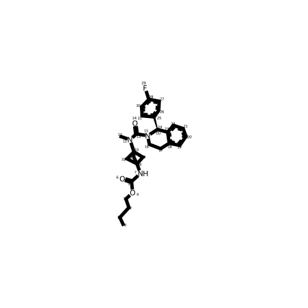 CCCCOC(=O)NC12CC(N(C)C(=O)N3CCc4ccccc4[C@@H]3c3ccc(F)cc3)(C1)C2